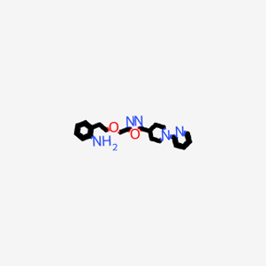 Nc1ccccc1CCOCc1nnc(C2CCN(c3ccccn3)CC2)o1